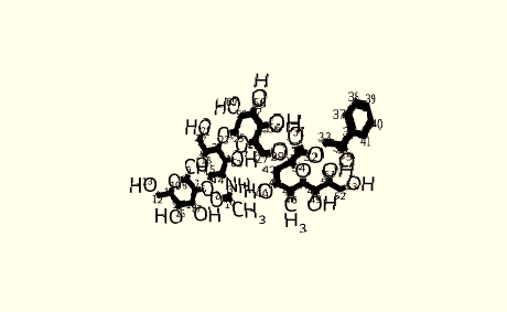 CC(=O)NC1C(OC2C(C)OC(CO)C(O)C2O)OC(CO)C(OC2OC(COC3(C(=O)OCC(=O)c4ccccc4)CC(O)C(C)C(C(O)C(O)CO)O3)C(O)C(O)C2O)C1O